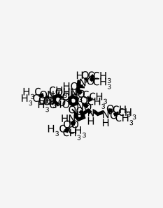 CN(C(=O)OC(C)(C)C)[C@@H]1[C@@H](O)[C@@H](O[C@@H]2[C@@H](O)[C@H](O[C@H]3OC(CNCCCNC(=O)OC(C)(C)C)=CC[C@H]3NC(=O)OC(C)(C)C)[C@@H](NC(=O)OC(C)(C)C)C[C@H]2NC(=O)C2(O)CN(C(=O)OC(C)(C)C)C2)OC[C@]1(C)O